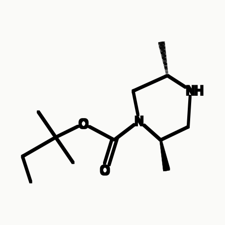 CCC(C)(C)OC(=O)N1C[C@H](C)NC[C@H]1C